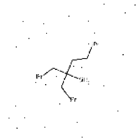 CC(C)CCC([SiH3])(CC(C)C)CC(C)C